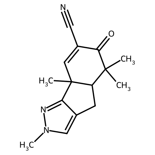 Cn1cc2c(n1)C1(C)C=C(C#N)C(=O)C(C)(C)C1C2